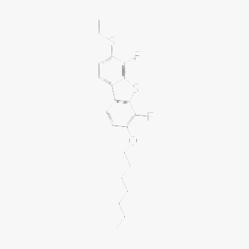 CCCCCCCOc1ccc2c(sc3c(F)c(SCC)ccc32)c1F